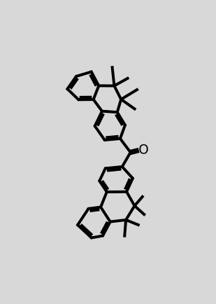 CC1(C)c2ccccc2-c2ccc(C(=O)c3ccc4c(c3)C(C)(C)C(C)(C)c3ccccc3-4)cc2C1(C)C